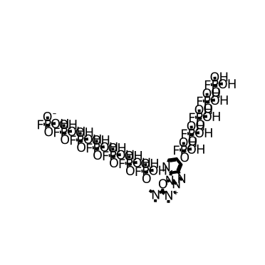 CN(C)C(On1nnc2cccnc21)=[N+](C)C.O=P(O)(O)F.O=P(O)(O)F.O=P(O)(O)F.O=P(O)(O)F.O=P(O)(O)F.O=P(O)(O)F.O=P(O)(O)F.O=P(O)(O)F.O=P(O)(O)F.O=P(O)(O)F.O=P(O)(O)F.O=P([O-])(O)F